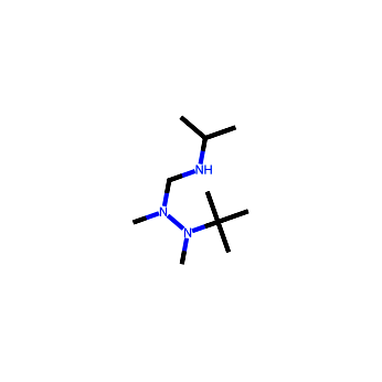 CC(C)NCN(C)N(C)C(C)(C)C